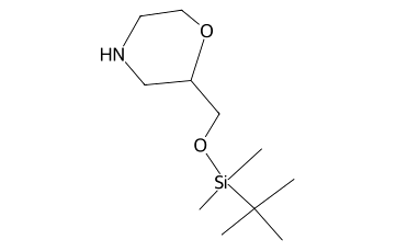 CC(C)(C)[Si](C)(C)OCC1CNCCO1